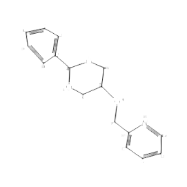 c1ccc(C2OCC(OCc3ccccn3)CO2)cc1